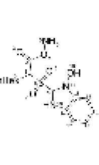 CCCCCCC(C(=O)ON)S(=O)(=O)C1Nc2ccccc2N1O